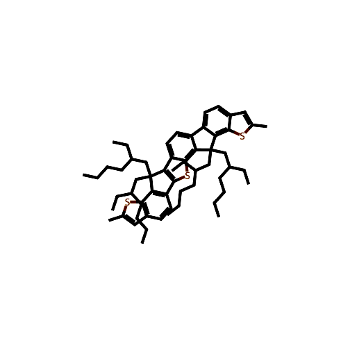 CCCCC(CC)CC1(CC(CC)CCCC)c2c(sc3c4c(ccc23)-c2ccc3cc(C)sc3c2C4(CC(CC)CCCC)CC(CC)CCCC)-c2ccc3cc(C)sc3c21